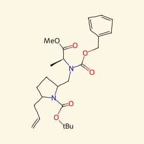 C=CCC1CCC(CN(C(=O)OCc2ccccc2)[C@@H](C)C(=O)OC)N1C(=O)OC(C)(C)C